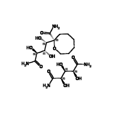 NC(=O)[C@@H](O)[C@@H](O)[C@H](O)[C@@]1(C(N)=O)CCCCCCO1.NC(=O)[C@@H](O)[C@H](O)[C@@H](O)C(N)=O